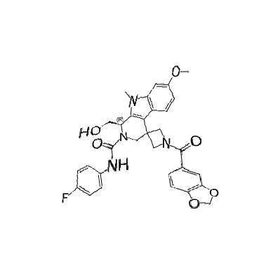 COc1ccc2c3c(n(C)c2c1)[C@H](CO)N(C(=O)Nc1ccc(F)cc1)CC31CN(C(=O)c2ccc3c(c2)OCO3)C1